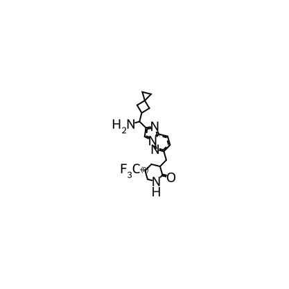 NC(c1cn2nc(CC3C[C@@H](C(F)(F)F)CNC3=O)ccc2n1)C1CC2(CC2)C1